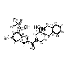 O=C(c1cn2cc(Br)cc([C@@H](O)C(F)(F)F)c2n1)N1CC[C@]2(Cc3ccccc3CN2)[C@H](O)C1